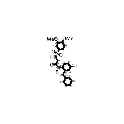 COc1ccc(S(=O)(=O)NCC(=O)N(C)c2ccc(Cl)cc2Cc2ccccc2)cc1OC